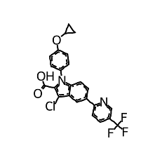 O=C(O)c1c(Cl)c2cc(-c3ccc(C(F)(F)F)cn3)ccc2n1-c1ccc(OC2CC2)cc1